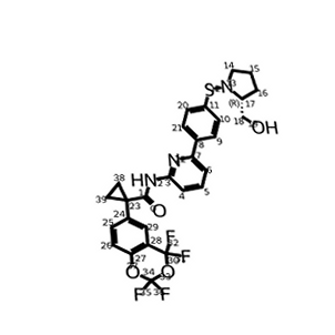 O=C(Nc1cccc(-c2ccc(SN3CCC[C@@H]3CO)cc2)n1)C1(c2ccc3c(c2)C(F)(F)OC(F)(F)O3)CC1